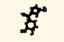 CC(C)C1CN(C(=O)c2ccc(Cl)s2)CCC1C